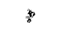 CCc1cc2c(NC3CCCCC3)ncnc2s1